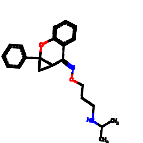 CC(C)NCCCON=C1c2ccccc2OC2(c3ccccc3)CC12